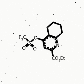 CCOC(=O)c1cc(OS(=O)(=O)C(F)(F)F)c2c(n1)CCCC2